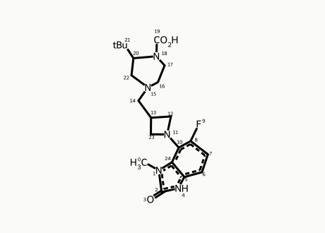 Cn1c(=O)[nH]c2ccc(F)c(N3CC(CN4CCN(C(=O)O)C(C(C)(C)C)C4)C3)c21